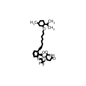 CC1CCC(C(C)C)C(OCCCCCCC#Cc2cccc3nc(C(F)(F)F)n([C@H]4CCC(=O)NC4=O)c(=O)c23)C1